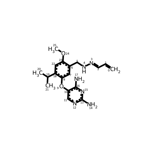 C=CC=NNCc1cc(Oc2cnc(N)nc2N)c(C(C)C)cc1OC